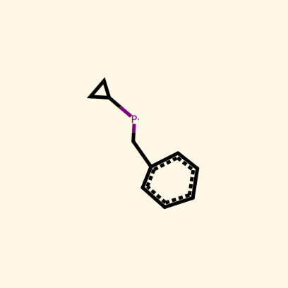 c1ccc(C[P]C2CC2)cc1